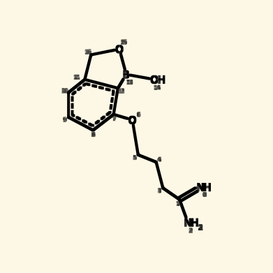 N=C(N)CCCOc1cccc2c1B(O)OC2